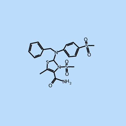 CC1=C(C(N)=O)N(S(C)(=O)=O)C(N(Cc2ccccc2)c2ccc(S(C)(=O)=O)cc2)S1